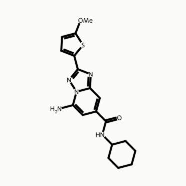 COc1ccc(-c2nc3cc(C(=O)NC4CCCCC4)cc(N)n3n2)s1